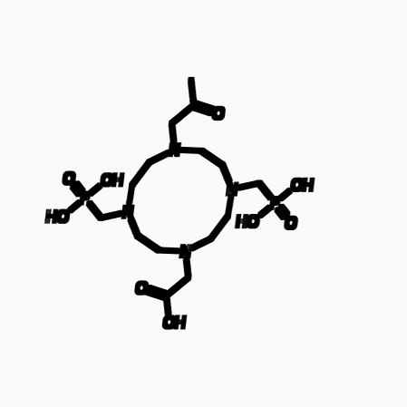 CC(=O)CN1CCN(CP(=O)(O)O)CCN(CC(=O)O)CCN(CP(=O)(O)O)CC1